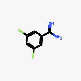 N=C(N)c1cc(F)cc(F)c1